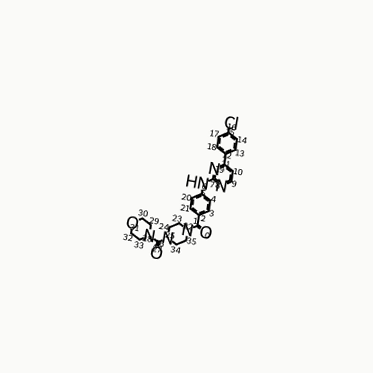 O=C(c1ccc(Nc2nccc(-c3ccc(Cl)cc3)n2)cc1)N1CCN(C(=O)N2CCOCC2)CC1